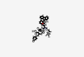 CC(CO/N=C(\C(=O)N[C@@H]1C(=O)N2C(C(=O)O)=C(CSc3cc[n+]([O-])cc3)C[S+]([O-])[C@H]12)c1csc(NC(c2ccccc2)(c2ccccc2)c2ccccc2)n1)O[Si](C)(C)C